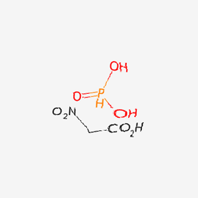 O=C(O)C[N+](=O)[O-].O=[PH](O)O